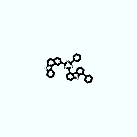 c1ccc(-c2nc(-c3ccc4ccc5oc6ccccc6c5c4c3)nc(-c3cccc4oc5c(-c6ccccc6)cccc5c34)n2)cc1